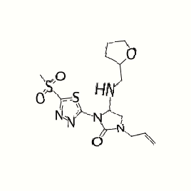 C=CCN1CC(NCC2CCCO2)N(c2nnc(S(C)(=O)=O)s2)C1=O